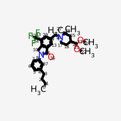 CCCCc1cccc(N2Cc3c(cc(CN4CCC(C(OC)OC)CC4(C)C)cc3C(F)(F)F)C2=O)c1